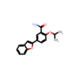 CC(C)Oc1ccc(-c2cc3ccccc3o2)cc1C(N)=O